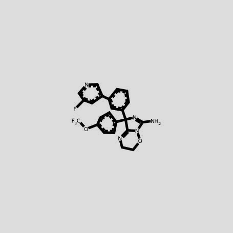 NC1=NC(c2ccc(OC(F)(F)F)cc2)(c2cccc(-c3cncc(F)c3)c2)C2=NCCON12